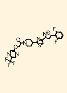 O=C(COc1cnc(C(F)(F)F)cn1)N1CCC(c2nc(C3=NOC(c4c(F)cccc4F)C3)cs2)CC1